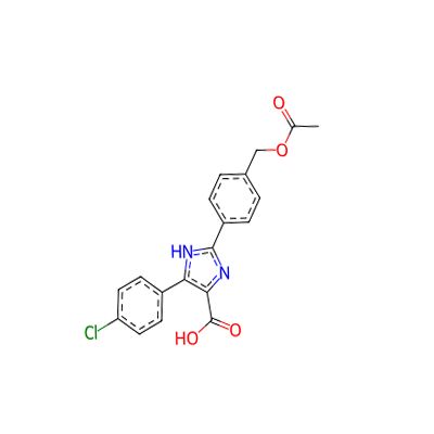 CC(=O)OCc1ccc(-c2nc(C(=O)O)c(-c3ccc(Cl)cc3)[nH]2)cc1